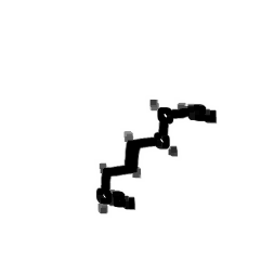 CC(C)[C]OCC=COOC(C)(C)C